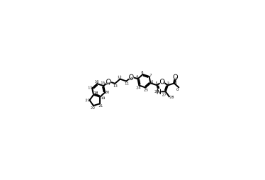 CC(=O)c1oc(-c2ccc(OCCCOc3ccc4c(c3)C[CH]C4)cc2)nc1C